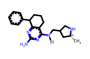 CCN(CC1CN[C@H](C)C1)c1nc(N)nc2c1CCCC2c1ccccc1